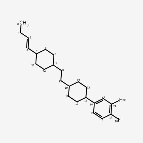 CCC=CC1CCC(CCC2CCC(c3ccc(F)c(F)c3)CC2)CC1